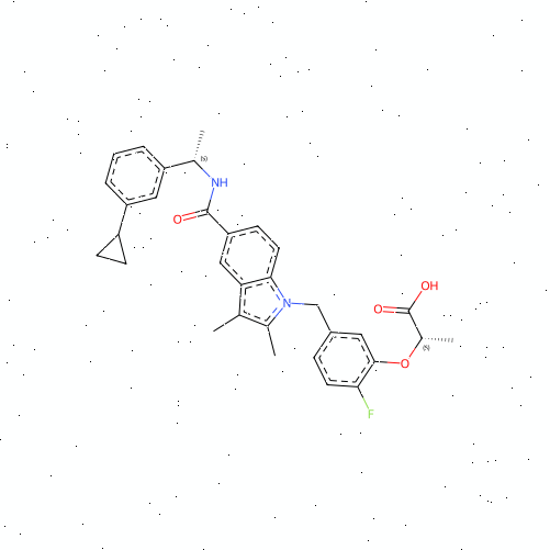 Cc1c(C)n(Cc2ccc(F)c(O[C@@H](C)C(=O)O)c2)c2ccc(C(=O)N[C@@H](C)c3cccc(C4CC4)c3)cc12